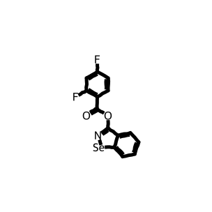 O=C(Oc1n[se]c2ccccc12)c1ccc(F)cc1F